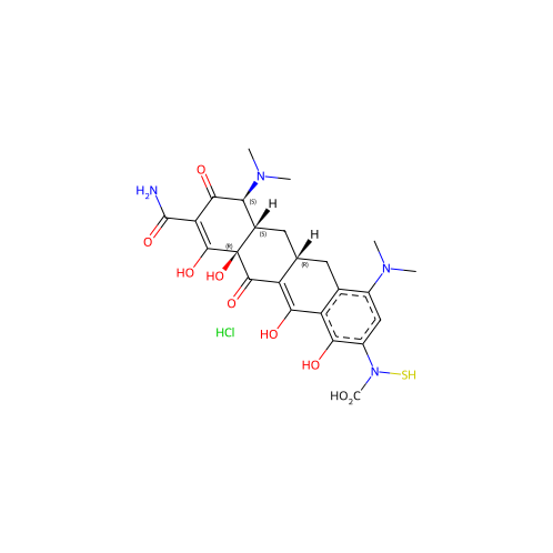 CN(C)c1cc(N(S)C(=O)O)c(O)c2c1C[C@H]1C[C@H]3[C@H](N(C)C)C(=O)C(C(N)=O)=C(O)[C@@]3(O)C(=O)C1=C2O.Cl